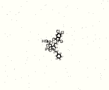 CC(C)CC1(CC(=O)NO)C(=O)N(CCc2ccccc2)CC1CCN1C(=O)c2cc(Cl)c(Cl)cc2C1=O